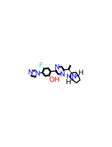 C=C(c1cnc(-c2cc(F)c(-n3ccnc3)cc2O)cn1)[C@H]1C[C@H]2CC[C@@H](C1)N2